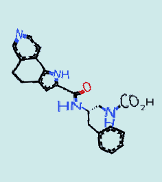 O=C(O)NC[C@H](Cc1ccccc1)NC(=O)c1cc2c([nH]1)-c1ccncc1CC2